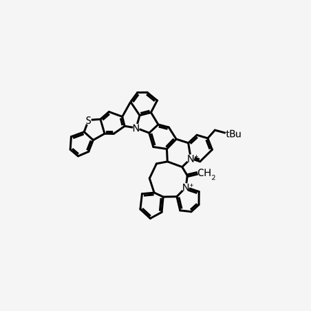 C=C1C2C(CCc3ccccc3-c3cccc[n+]31)c1cc3c(cc1-c1cc(CC(C)(C)C)cc[n+]12)c1cccc2c4cc5sc6ccccc6c5cc4n3c12